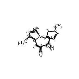 Cc1ccc2c(c1)-n1nnc(C)c1CC(=O)N2